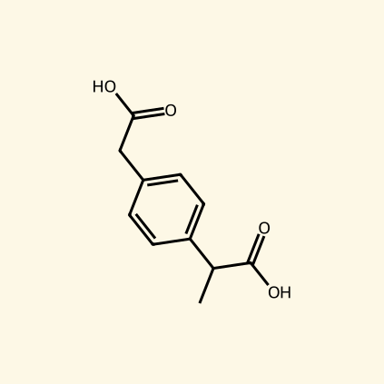 CC(C(=O)O)c1ccc(CC(=O)O)cc1